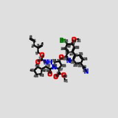 C=CCC(=C)COC(=O)N[C@H](C(=O)N1C[C@H](Oc2nc3cc(C#N)ccc3c3cc(OC)c(Br)cc23)C[C@H]1C(=O)OC)C1CCCC1